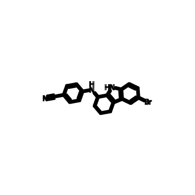 N#Cc1ccc(NC2CCCc3c2[nH]c2ccc(Br)cc32)cc1